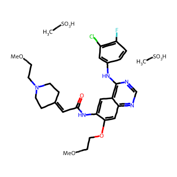 COCCOc1cc2ncnc(Nc3ccc(F)c(Cl)c3)c2cc1NC(=O)C=C1CCN(CCOC)CC1.CS(=O)(=O)O.CS(=O)(=O)O